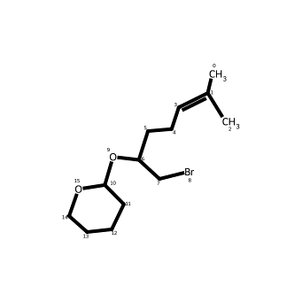 CC(C)=CCCC(CBr)OC1CCCCO1